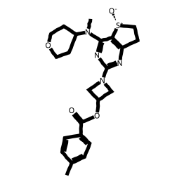 Cc1ccc(C(=O)OC2CN(c3nc4c(c(N(C)C5CCOCC5)n3)[S@+]([O-])CC4)C2)cc1